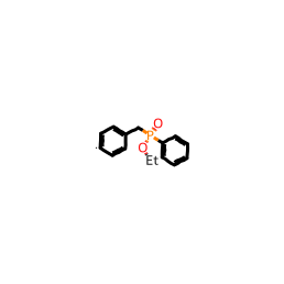 CCOP(=O)(Cc1cc[c]cc1)c1ccccc1